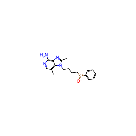 Cc1cnc(N)c2nc(C)n(CCCC[S+]([O-])c3ccccc3)c12